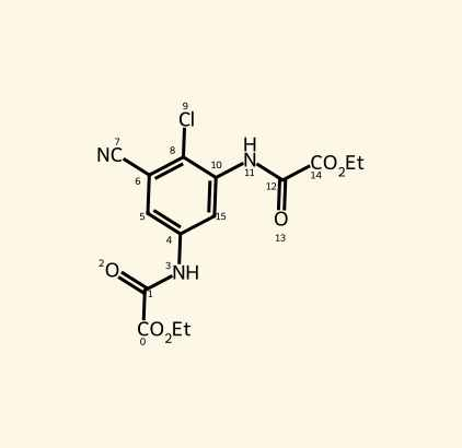 CCOC(=O)C(=O)Nc1cc(C#N)c(Cl)c(NC(=O)C(=O)OCC)c1